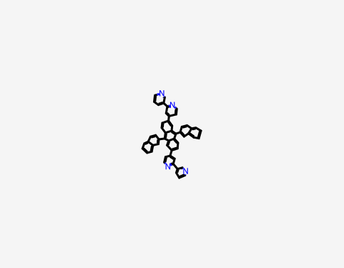 c1cncc(-c2cc(-c3ccc4c(-c5ccc6ccccc6c5)c5cc(-c6ccnc(-c7cccnc7)c6)ccc5c(-c5ccc6ccccc6c5)c4c3)ccn2)c1